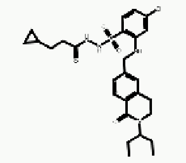 CCC(CC)N1CCc2cc(CNc3cc(Cl)ccc3S(=O)(=O)NNC(=O)CCC3CC3)ccc2C1=O